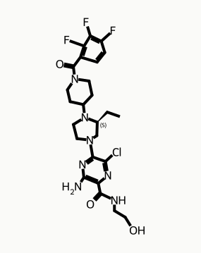 CC[C@H]1CN(c2nc(N)c(C(=O)NCCO)nc2Cl)CCN1C1CCN(C(=O)c2ccc(F)c(F)c2F)CC1